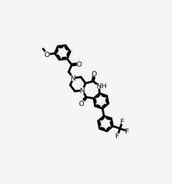 COc1cccc(C(=O)CN2CCN3C(=O)c4cc(-c5cccc(C(F)(F)F)c5)ccc4NC(=O)C3C2)c1